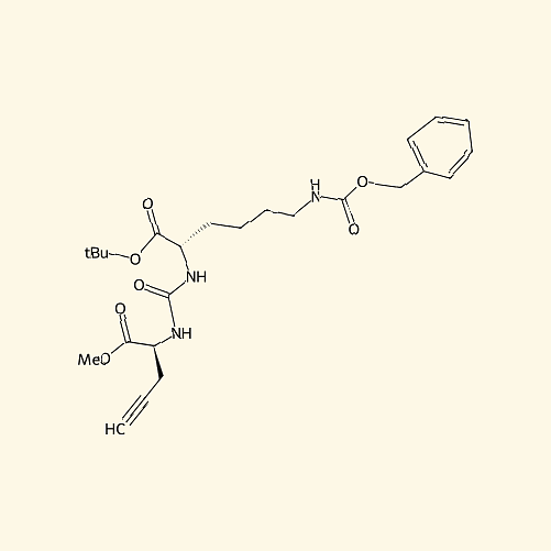 C#CC[C@H](NC(=O)N[C@@H](CCCCNC(=O)OCc1ccccc1)C(=O)OC(C)(C)C)C(=O)OC